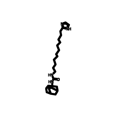 O=C(NCCCCCCCCCCCCc1ncc[nH]1)NC12CC3CC(CC(C3)C1)C2